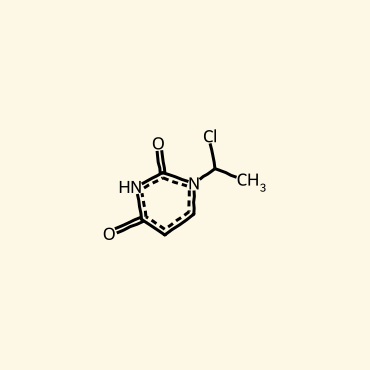 CC(Cl)n1ccc(=O)[nH]c1=O